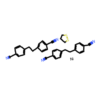 C1CSSC1.N#Cc1ccc(CCc2ccc(C#N)cc2)cc1.N#Cc1ccc(CCc2ccc(C#N)cc2)cc1.[Ni]